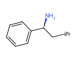 CC(C)C[C@H](N)c1ccccc1